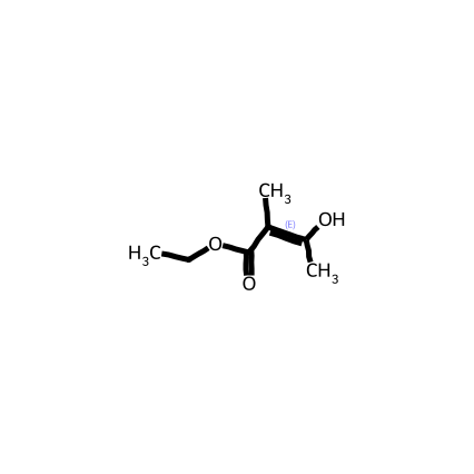 CCOC(=O)/C(C)=C(\C)O